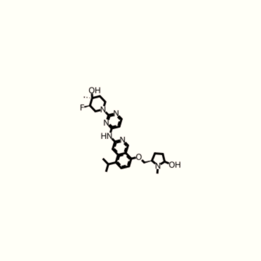 CC(C)c1ccc(OC[C@H]2CCC(O)N2C)c2cnc(Nc3ccnc(N4CC[C@](C)(O)[C@H](F)C4)n3)cc12